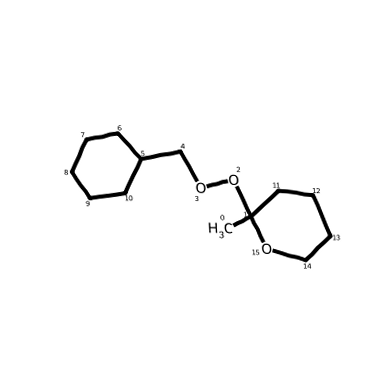 CC1(OOCC2CCCCC2)CCCCO1